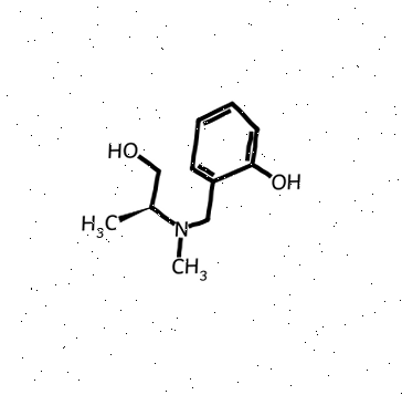 C[C@@H](CO)N(C)Cc1ccccc1O